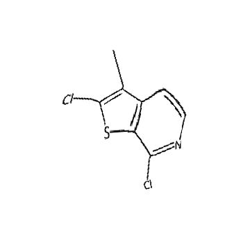 Cc1c(Cl)sc2c(Cl)nccc12